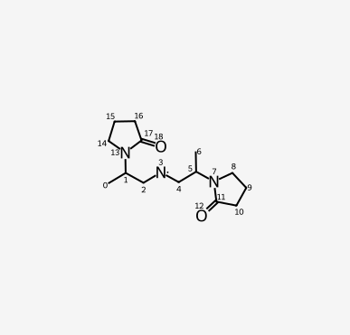 CC(C[N]CC(C)N1CCCC1=O)N1CCCC1=O